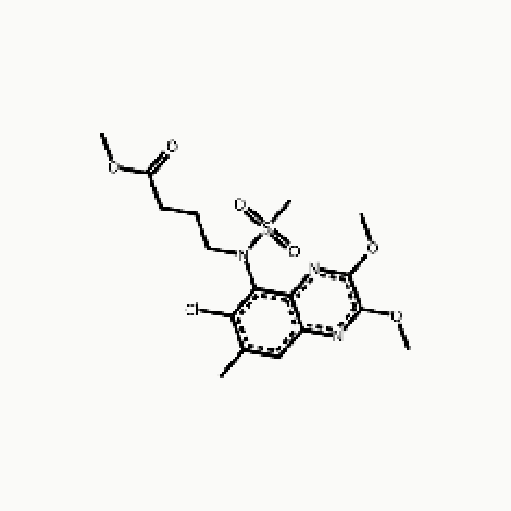 COC(=O)CCCN(c1c(Cl)c(C)cc2nc(OC)c(OC)nc12)S(C)(=O)=O